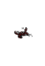 COc1ccc(CNc2nccnc2[C@@H](C)N2CCOc3c(Cl)c(-c4nc(N(Cc5ccc(OC)cc5)Cc5ccc(OC)cc5)cc(C)c4C(F)(F)F)c(F)c4nc(OC[C@@]56CCCN5C[C@]5(CC5(F)F)C6)nc2c34)cc1